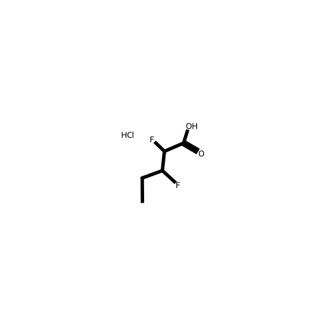 CCC(F)C(F)C(=O)O.Cl